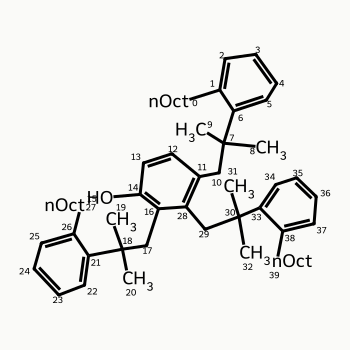 CCCCCCCCc1ccccc1C(C)(C)Cc1ccc(O)c(CC(C)(C)c2ccccc2CCCCCCCC)c1CC(C)(C)c1ccccc1CCCCCCCC